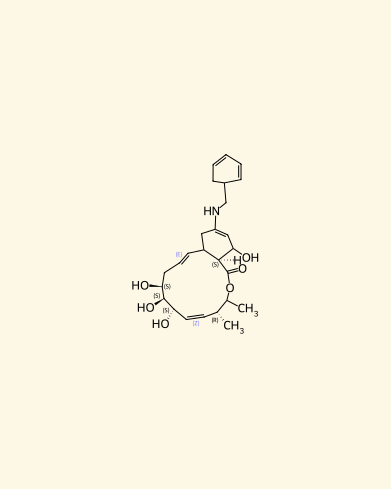 CC1OC(=O)[C@@H]2C(O)C=C(NCC3C=CC=CC3)CC2/C=C/C[C@H](O)[C@H](O)[C@@H](O)/C=C\[C@H]1C